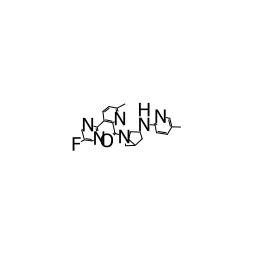 Cc1ccc(NC2CC3CC2N(C(=O)c2nc(C)ccc2-c2ncc(F)cn2)C3)nc1